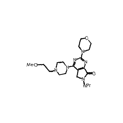 CCCN1Cc2c(nc(N3CCOCC3)nc2N2CCN(CCOC)CC2)C1=O